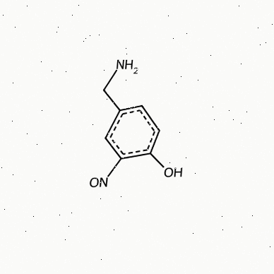 NCc1ccc(O)c(N=O)c1